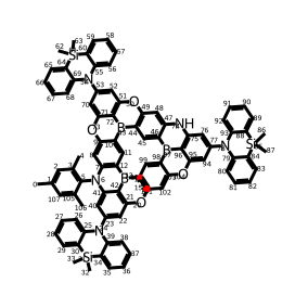 Cc1cc(C)c(N2c3cc4c(cc3B3c5ccccc5Oc5cc(N6c7ccccc7[Si](C)(C)c7ccccc76)cc2c53)B2c3cc5c(cc3Oc3cc(N6c7ccccc7[Si](C)(C)c7ccccc76)cc(c32)O4)Nc2cc(N3c4ccccc4[Si](C)(C)c4ccccc43)cc3c2B5c2ccccc2O3)c(C)c1